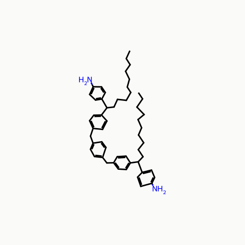 CCCCCCCCCCC(c1ccc(N)cc1)c1ccc(Cc2ccc(Cc3ccc(C(CCCCCCCCCC)c4ccc(N)cc4)cc3)cc2)cc1